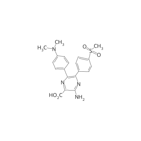 CN(C)c1ccc(-c2nc(C(=O)O)c(N)nc2-c2ccc(S(C)(=O)=O)cc2)cc1